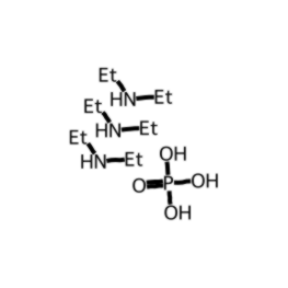 CCNCC.CCNCC.CCNCC.O=P(O)(O)O